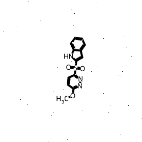 COc1ccc(S(=O)(=O)c2cc3ccccc3[nH]2)nn1